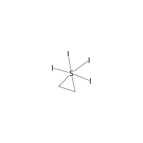 IS1(I)(I)(I)CC1